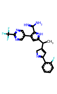 CC(C1=CC(c2ccccc2F)=NC1)c1cc(-c2cnc(C(F)(F)F)nc2)c(C(=N)N)[nH]1